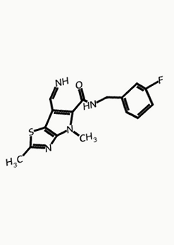 Cc1nc2c(s1)c(C=N)c(C(=O)NCc1cccc(F)c1)n2C